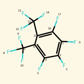 Fc1c(F)c(F)c(C(F)(F)F)c(C(F)(F)F)c1F